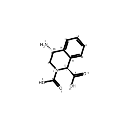 N[C@H]1CN(C(=O)O)[C@H](C(=O)O)c2ccccc21